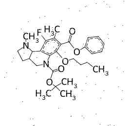 CCCCOc1c(C(=O)Oc2ccccc2)c(C)c(F)c2c1N(C(=O)OC(C)(C)C)CC1CCN(C)C21